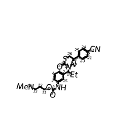 CCC(c1cccc(NC(=O)OCCCNC)c1)N1N=C(c2ccc(C#N)cc2)CSC1=O